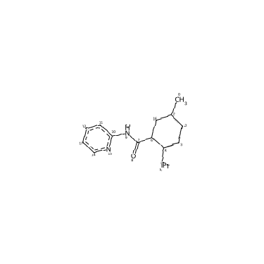 CC1CCC(C(C)C)C(C(=O)Nc2ccccn2)C1